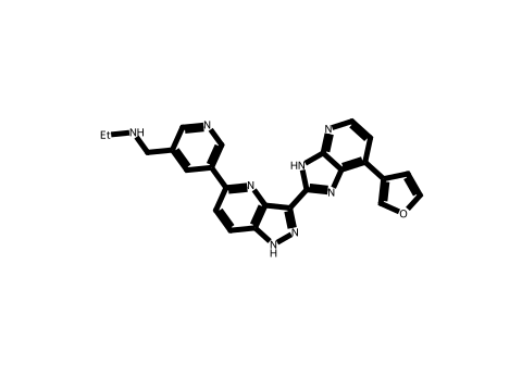 CCNCc1cncc(-c2ccc3[nH]nc(-c4nc5c(-c6ccoc6)ccnc5[nH]4)c3n2)c1